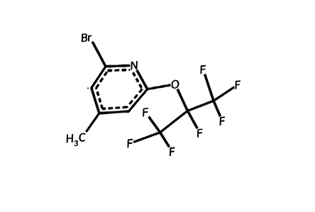 Cc1[c]c(Br)nc(OC(F)(C(F)(F)F)C(F)(F)F)c1